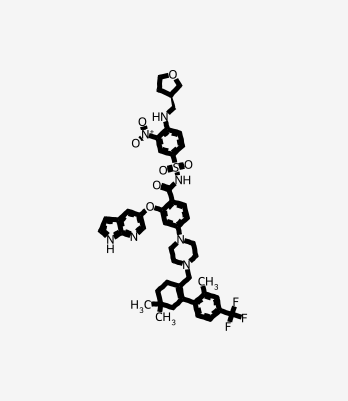 Cc1cc(C(F)(F)F)ccc1C1=C(CN2CCN(c3ccc(C(=O)NS(=O)(=O)c4ccc(NC[C@H]5CCOC5)c([N+](=O)[O-])c4)c(Oc4cnc5[nH]ccc5c4)c3)CC2)CCC(C)(C)C1